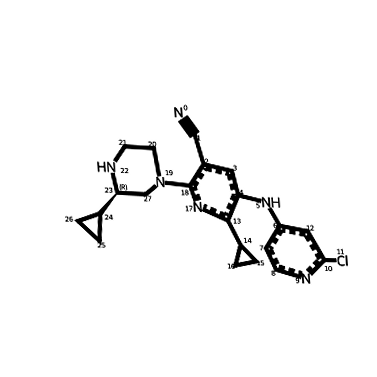 N#Cc1cc(Nc2ccnc(Cl)c2)c(C2CC2)nc1N1CCN[C@H](C2CC2)C1